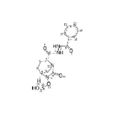 O=C(NNC(=O)[C@H]1CC[C@H]2CN1C(=O)N2OS(=O)(=O)O)c1ccccc1